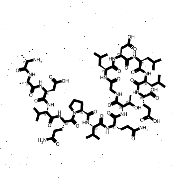 CC(C)C[C@H](NC(=O)CNC(=O)[C@@H](NC(=O)[C@H](CCC(N)=O)NC(=O)[C@@H](NC(=O)[C@@H]1CCCN1C(=O)[C@H](CCC(N)=O)NC(=O)[C@@H](NC(=O)[C@H](CC(=O)O)NC(=O)[C@H](C)NC(=O)[C@H](C)N)C(C)C)C(C)C)[C@@H](C)O)C(=O)N[C@@H](CC(=O)O)C(=O)N[C@@H](CC(C)C)C(=O)N[C@@H](CC(C)C)C(=O)N[C@@H](CCC(=O)O)C(=O)O